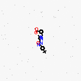 COC(=O)c1cccc(Cn2nc(-c3nc(-c4ccc(C(C)(C)C)cc4)no3)cc2C)c1